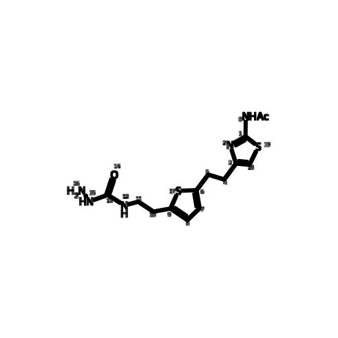 CC(=O)Nc1nc(CCc2ccc(CCNC(=O)NN)s2)cs1